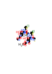 COC(=O)C(=O)Cn1cc(C(=O)O)c(-c2cc(NCc3ccc(Cl)s3)n(C(=O)c3ccsn3)n2)cc1=O.Cc1cn(CC(=O)c2ncco2)c(=O)c(C(=O)O)c1-c1cc(NCc2ccc(Cl)s2)n(C(=O)c2cncs2)n1